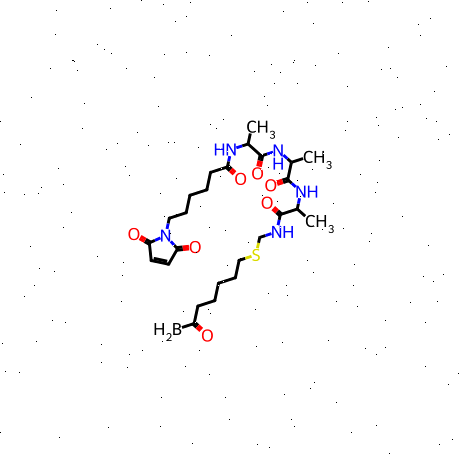 BC(=O)CCCCCSCNC(=O)C(C)NC(=O)C(C)NC(=O)C(C)NC(=O)CCCCCN1C(=O)C=CC1=O